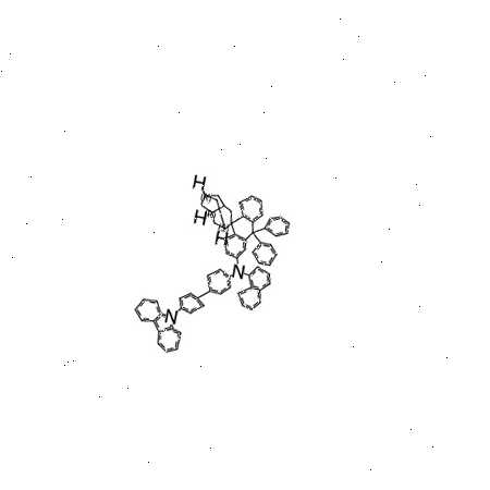 c1ccc(C2(c3ccccc3)c3ccccc3C3(CC4C[C@H]5C[C@@H]4C[C@@H]3C5)c3ccc(N(c4ccc(-c5ccc(-n6c7ccccc7c7ccccc76)cc5)cc4)c4cccc5ccccc45)cc32)cc1